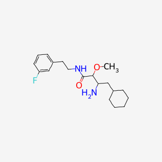 COC(C(=O)NCCc1cccc(F)c1)C(N)CC1CCCCC1